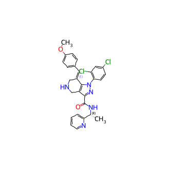 COc1ccc(/C=C2\CNCc3c(C(=O)N[C@H](C)c4ccccn4)nn(-c4ccc(Cl)cc4Cl)c32)cc1